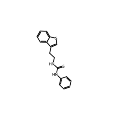 S=C(NCCc1csc2ccccc12)Nc1ccccc1